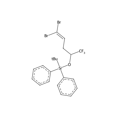 CC(C)(C)[Si](OC(CC=C(Br)Br)C(F)(F)F)(c1ccccc1)c1ccccc1